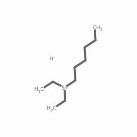 CCCCC[CH2][Sn]([CH2]C)[CH2]C.[H-]